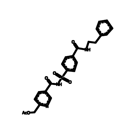 CC(=O)OCc1ccc(C(=O)NS(=O)(=O)c2ccc(C(=O)NCCc3ccccc3)cc2)cn1